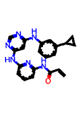 C=CC(=O)Nc1cccc(Nc2cc(Nc3cccc(C4CC4)c3)ncn2)n1